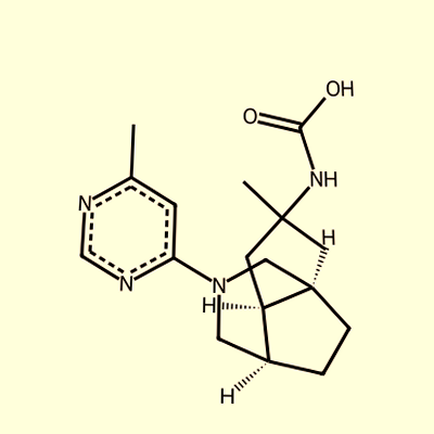 Cc1cc(N2C[C@H]3CC[C@@H](C2)[C@H]3CC(C)(C)NC(=O)O)ncn1